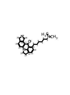 CN(C)CCCCCCc1ccc2c3c1c(=O)c1c4c(ccc1n3CC2)CN=C4